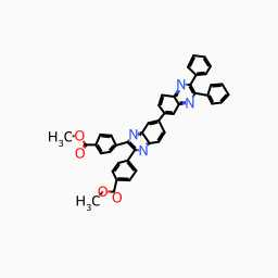 COC(=O)c1ccc(-c2nc3ccc(-c4ccc5nc(-c6ccccc6)c(-c6ccccc6)nc5c4)cc3nc2-c2ccc(C(=O)OC)cc2)cc1